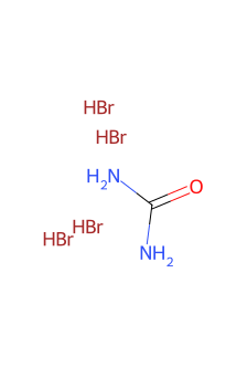 Br.Br.Br.Br.NC(N)=O